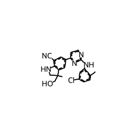 Cc1ccc(Cl)cc1Nc1nccc(-c2cc(C#N)c3c(c2)C(C)(CO)CN3)n1